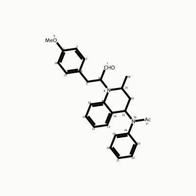 COc1ccc(CC(C=O)N2c3ccccc3C(N(C(C)=O)c3ccccc3)CC2C)cc1